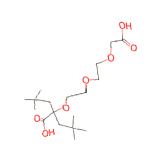 CC(C)(C)CC(CC(C)(C)C)(OCCOCCOCC(=O)O)C(=O)O